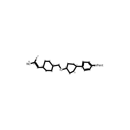 CCCCCc1ccc(C2CCC(OCC3CCC(C=C(F)C#N)CC3)CC2)cc1